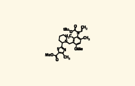 C=CN(C(=O)OC(C)(C)C)c1c(C)cc(OC)c(CN2CCCCC2c2nc(C)c(C(=O)OC)s2)c1C